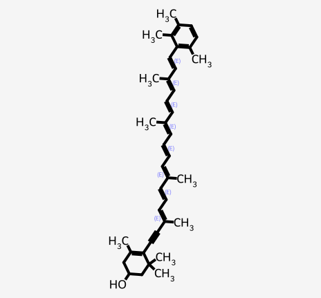 CC1=C(C#C/C(C)=C/C=C/C(C)=C/C=C/C=C(C)/C=C/C=C(C)/C=C/c2c(C)ccc(C)c2C)C(C)(C)CC(O)C1